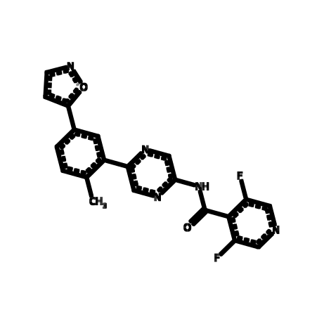 Cc1ccc(-c2ccno2)cc1-c1cnc(NC(=O)c2c(F)cncc2F)cn1